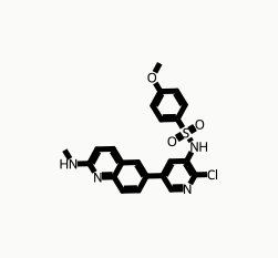 CNc1ccc2cc(-c3cnc(Cl)c(NS(=O)(=O)c4ccc(OC)cc4)c3)ccc2n1